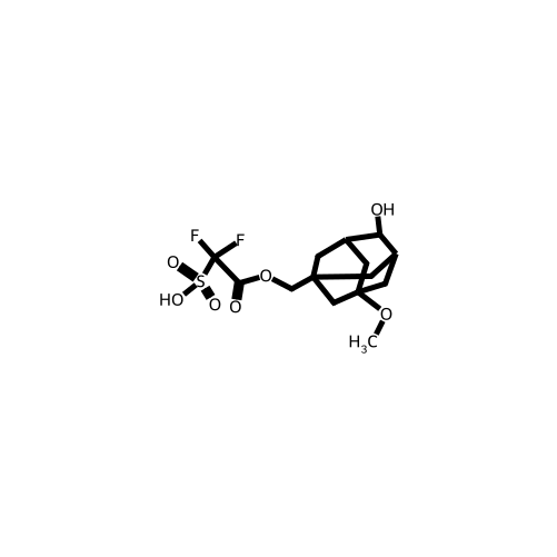 COC12CC3CC(COC(=O)C(F)(F)S(=O)(=O)O)(CC(C1)C3O)C2